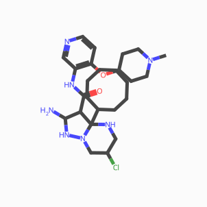 CN1CCC(Oc2ccncc2NC(=O)C2C(N)NN3CC(Cl)CNC23C2CCCCCCC2)CC1